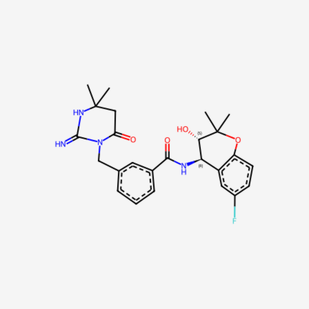 CC1(C)CC(=O)N(Cc2cccc(C(=O)N[C@@H]3c4cc(F)ccc4OC(C)(C)[C@H]3O)c2)C(=N)N1